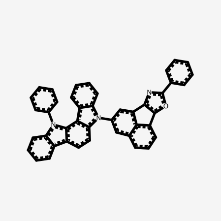 c1ccc(-c2nc3c(o2)-c2cccc4cc(-n5c6ccccc6c6c5ccc5c7ccccc7n(-c7ccccc7)c56)cc-3c24)cc1